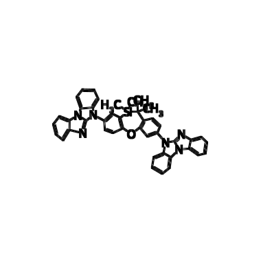 CC1(C)c2ccc(-n3c4ccccc4n4c5ccccc5nc34)cc2Oc2ccc(-n3c4ccccc4n4c5ccccc5nc34)cc2[Si]1(C)C